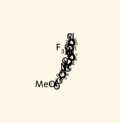 COC(=O)COC1CCN(C2=NC(=O)C(=Cc3ccc4c(cnn4Cc4ccc(Cl)cc4C(F)(F)F)c3)S2)CC1